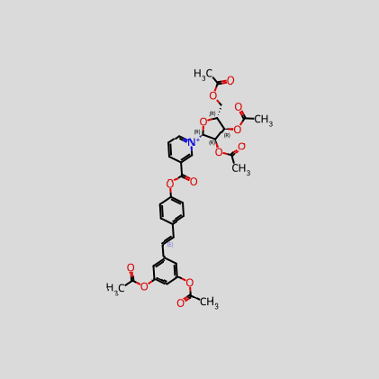 CC(=O)OC[C@H]1O[C@@H]([n+]2cccc(C(=O)Oc3ccc(/C=C/c4cc(OC(C)=O)cc(OC(C)=O)c4)cc3)c2)[C@H](OC(C)=O)[C@@H]1OC(C)=O